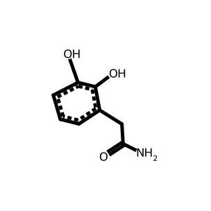 NC(=O)Cc1cccc(O)c1O